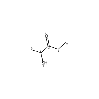 CCC(=O)C(C)S